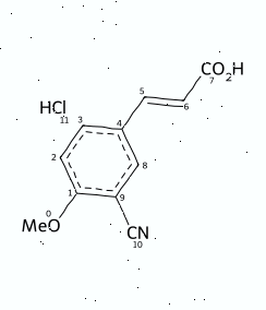 COc1ccc(C=CC(=O)O)cc1C#N.Cl